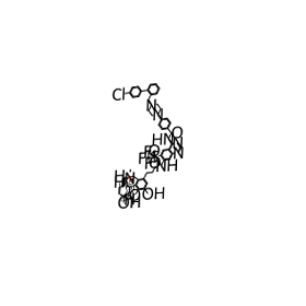 CN1CC[C@]23c4c5c(CCCNc6cc7ncnc(NC(=O)c8ccc(N9CCN(Cc%10ccccc%10-c%10ccc(Cl)cc%10)CC9)cc8)c7cc6S(=O)(=O)C(F)(F)F)cc(O)c4O[C@H]2[C@@H](O)C=C[C@H]3[C@H]1C5